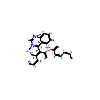 C=C(/C=C\C=C/C)OC(=C)/C(=C(C)\C=C/C)c1c2ccccc2nc[n+]1C